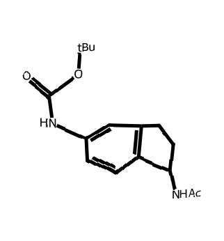 CC(=O)NC1CCc2cc(NC(=O)OC(C)(C)C)ccc21